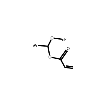 C=CC(=O)OC(CCC)OCCC